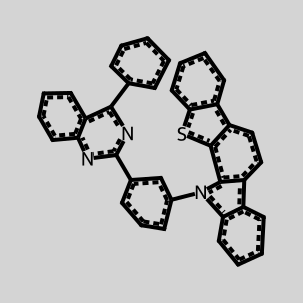 c1ccc(-c2nc(-c3cccc(-n4c5ccccc5c5ccc6c7ccccc7sc6c54)c3)nc3ccccc23)cc1